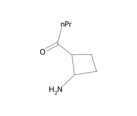 CCCC(=O)C1CCC1N